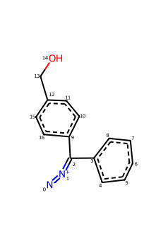 [N-]=[N+]=C(c1ccccc1)c1ccc(CO)cc1